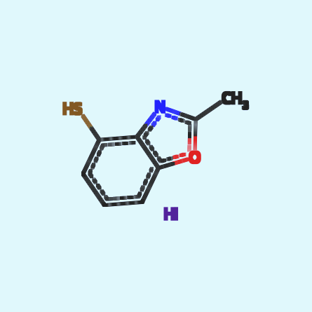 Cc1nc2c(S)cccc2o1.I